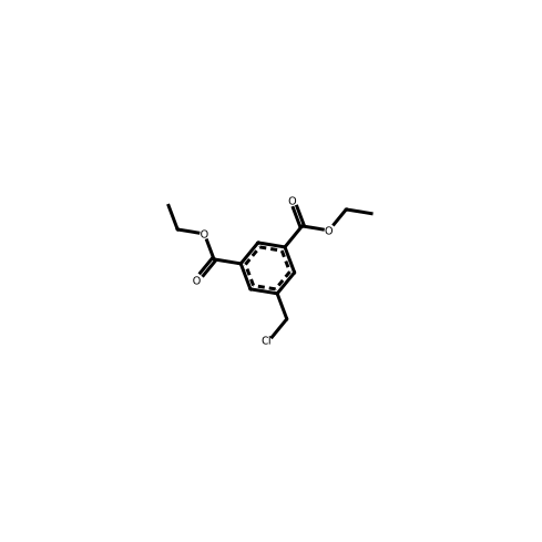 CCOC(=O)c1cc(CCl)cc(C(=O)OCC)c1